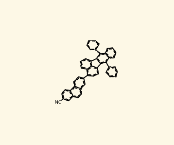 N#Cc1ccc2c(ccc3cc(-c4ccc5c6c(cccc46)-c4c-5c(-c5ccccc5)c5ccccc5c4-c4ccccc4)ccc32)c1